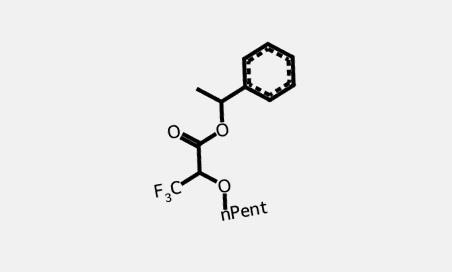 CCCCCOC(C(=O)OC(C)c1ccccc1)C(F)(F)F